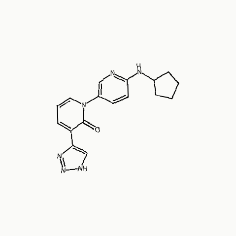 O=c1c(-c2c[nH]nn2)cccn1-c1ccc(NC2CCCC2)nc1